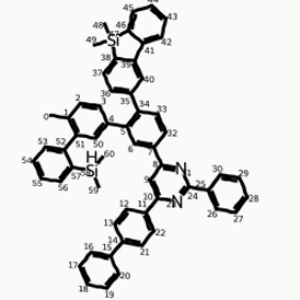 Cc1ccc(-c2cc(-c3cc(-c4ccc(-c5ccccc5)cc4)nc(-c4ccccc4)n3)ccc2-c2ccc3c(c2)-c2ccccc2[Si]3(C)C)cc1-c1ccccc1[SiH](C)C